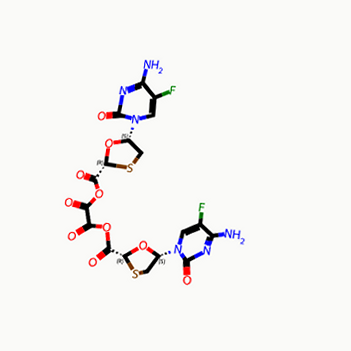 Nc1nc(=O)n([C@@H]2CS[C@H](C(=O)OC(=O)C(=O)OC(=O)[C@@H]3O[C@H](n4cc(F)c(N)nc4=O)CS3)O2)cc1F